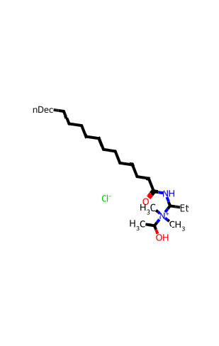 CCCCCCCCCCCCCCCCCCCCCC(=O)NC(CC)[N+](C)(C)C(C)O.[Cl-]